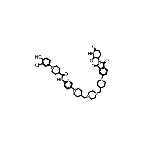 N#Cc1ccc(N2CCC(C(=O)Nc3ccc(N4CCC(CN5CCN(CC6CCN(c7ccc8c(c7)C(=O)N(C7CCC(=O)NC7=O)C8=O)CC6)CC5)CC4)cn3)CC2)cc1Cl